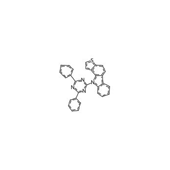 c1ccc(-c2nc(-c3ccccc3)nc(-n3c4ccccc4c4ccc5sccc5c43)n2)cc1